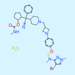 CNC(=O)O[C@H]1CCCC1C(C#N)(c1ccccc1)C1CCN(CC2CN(c3ccc(OSN(C)c4nn(C)cc4Br)cc3)C2)CC1.S